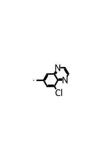 [CH2]c1cc(Cl)c2nccnc2c1